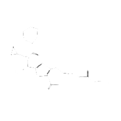 COC(=O)NCCCc1cc([C@@H](C)N(C(=O)[C@H]2CNCCO2)C2CC2)sc1C(C)=O